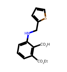 CCOC(=O)c1cccc(NCc2cccs2)c1C(=O)O